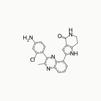 Cc1nc2cccc(-c3cc4c([nH]3)CCNC4=O)c2nc1-c1ccc(N)cc1Cl